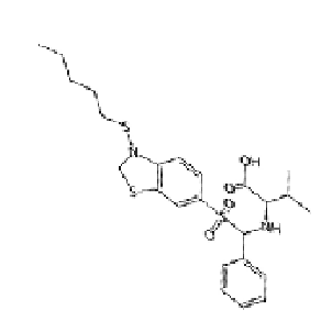 CCCCCSN1CSc2cc(S(=O)(=O)C(N[C@@H](C(=O)O)C(C)C)c3ccccc3)ccc21